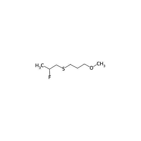 COCCCSCC(C)F